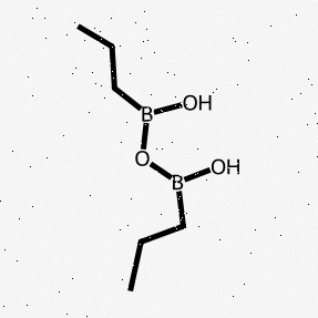 CCCB(O)OB(O)CCC